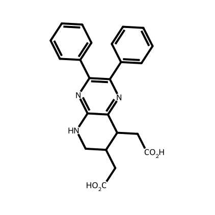 O=C(O)CC1CNc2nc(-c3ccccc3)c(-c3ccccc3)nc2C1CC(=O)O